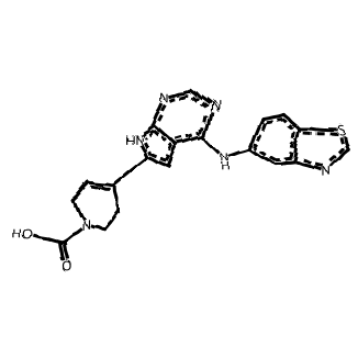 O=C(O)N1CC=C(c2cc3c(Nc4ccc5scnc5c4)ncnc3[nH]2)CC1